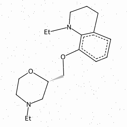 CCN1CCO[C@H](COc2cccc3c2N(CC)CCC3)C1